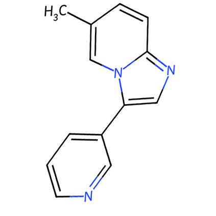 Cc1ccc2ncc(-c3cccnc3)n2c1